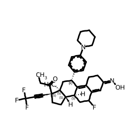 CCC(=O)[C@@]1(C#CC(F)(F)F)CC[C@H]2[C@@H]3CC(F)C4=CC(=NO)CCC4=C3[C@@H](c3ccc(N4CCCCC4)cc3)C[C@@]21C